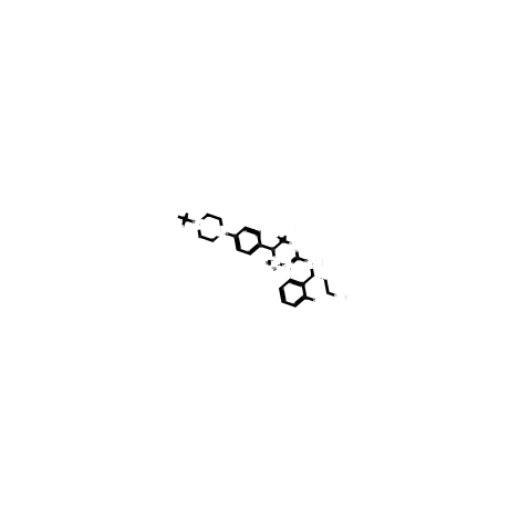 CC1(C)OC(N[C@@H](CCO)c2ccccc2F)=NS(=O)(=O)C1c1ccc(N2CCN(C(C)(C)C)CC2)cc1